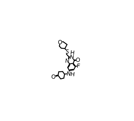 O=C1CCC(Nc2cc(F)c3c(=O)[nH]c(CSC4CCOCC4)nc3c2)CC1